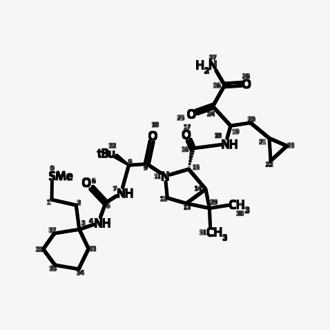 CSCCC1(NC(=O)N[C@H](C(=O)N2CC3C([C@H]2C(=O)NC(CC2CC2)C(=O)C(N)=O)C3(C)C)C(C)(C)C)CCCCC1